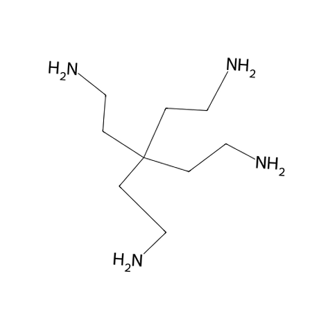 NCCC(CCN)(CCN)CCN